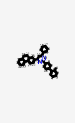 Cc1ccccc1-c1ccc(-c2nc(-c3ccccc3)cc(-c3ccc4c(ccc5ccccc54)c3)n2)cc1